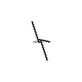 CCCCCCCCCCCCCCCc1cc(CCCCCCC)c(CCCCCCCCCCCCCCC)cc1O